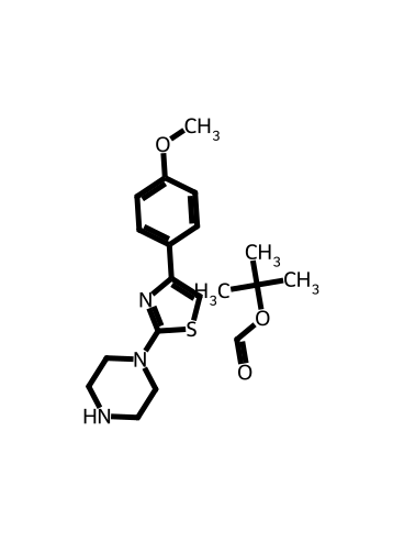 CC(C)(C)OC=O.COc1ccc(-c2csc(N3CCNCC3)n2)cc1